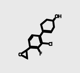 OC1CC=C(c2ccc(C3CO3)c(F)c2Cl)CC1